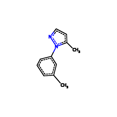 Cc1cccc(-n2nccc2C)c1